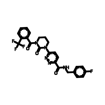 O=C(NCc1ccc(F)cc1)c1ccc(N2CCCN(C(=O)c3ccccc3C(F)(F)F)C2=O)nn1